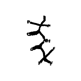 CC(F)(F)C(=O)NC(=O)C(F)(F)F